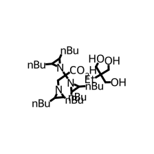 CCC(CO)(CO)CO.CCCCC1C(CCCC)N1CC(C(=O)O)(N1C(CCCC)C1CCCC)N1C(CCCC)C1CCCC